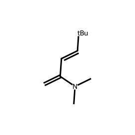 C=C(/C=C/C(C)(C)C)N(C)C